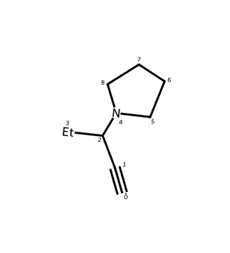 [C]#CC(CC)N1CCCC1